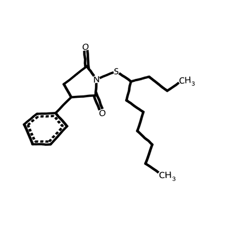 CCCCCCC(CCC)SN1C(=O)CC(c2ccccc2)C1=O